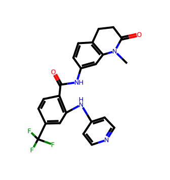 CN1C(=O)CCc2ccc(NC(=O)c3ccc(C(F)(F)F)cc3Nc3ccncc3)cc21